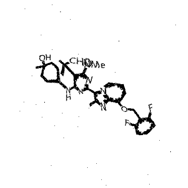 CNc1nc(-c2c(C)nc3c(OCc4c(F)cccc4F)cccn23)nc(NC2CCC(C)(O)CC2)c1C(C)(C)C=O